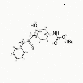 CC(C)(C)OC(=O)N[C@@H]1CC[C@@H](OC(=S)Nc2ccccc2)[C@H](O)C1